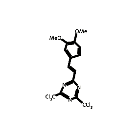 COc1ccc(/C=C/c2nc(C(Cl)(Cl)Cl)nc(C(Cl)(Cl)Cl)n2)cc1OC